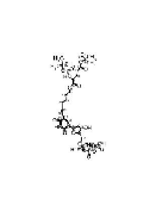 CC(C)(C)OC(=O)CCC(NC(=O)OC(C)(C)C)C(=O)OCCCCC#Cc1cn([C@H]2CC(O)[C@@H](COP(=O)(O)OP(=O)(O)OP(=O)(O)O)O2)c(=O)[nH]c1=O